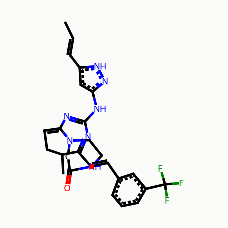 C/C=C/c1cc(NC2=N/C(N3CCNC(=O)C3)=C/CC(C)C(/C=C/c3cccc(C(F)(F)F)c3)=N\2)n[nH]1